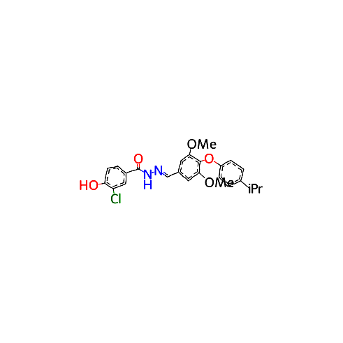 COc1cc(/C=N/NC(=O)c2ccc(O)c(Cl)c2)cc(OC)c1Oc1ccc(C(C)C)cc1